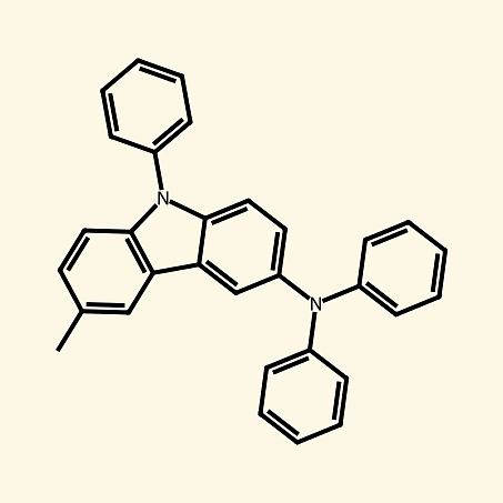 Cc1ccc2c(c1)c1cc(N(c3ccccc3)c3ccccc3)ccc1n2-c1ccccc1